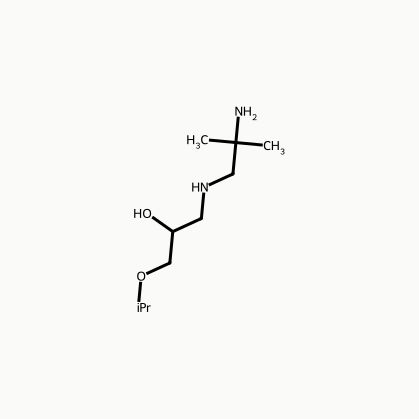 CC(C)OCC(O)CNCC(C)(C)N